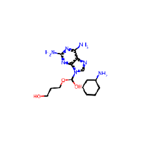 NC1CCCCC1.Nc1nc(N)c2ncn(C(O)OCCCO)c2n1